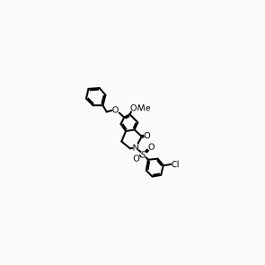 COc1cc2c(cc1OCc1ccccc1)CCN(S(=O)(=O)c1cccc(Cl)c1)C2=O